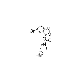 O=C(Oc1ncnc2ccc(Br)cc12)N1CCC2(CC1)CNC2